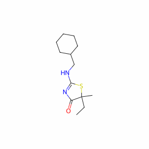 CCC1(C)SC(NCC2CCCCC2)=NC1=O